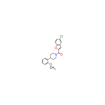 COc1ccccc1C1CCN(C(=O)c2cc3cc(Cl)ccc3o2)CC1